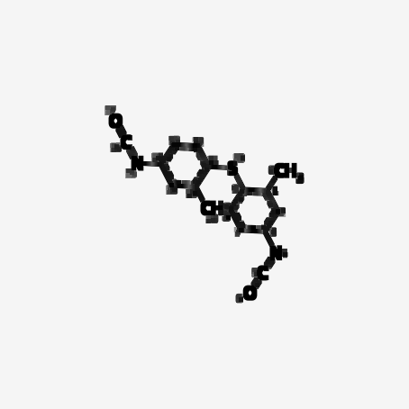 Cc1cc(N=C=O)ccc1Sc1ccc(N=C=O)cc1C